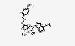 Nc1ccc(CCC[C@H]2C[C@@]3(CO2)C[C@@H](n2ccc4c(N)ncnc42)[C@H](O)[C@@H]3O)cn1